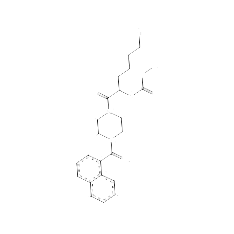 CC(C)(C)OC(=O)NC(CCCCN)C(=O)N1CCN(C(=O)c2cccc3ccccc23)CC1